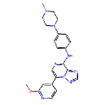 COc1cc(-c2cnc(Nc3ccc(N4CCN(C)CC4)cc3)c3ncnn23)ccn1